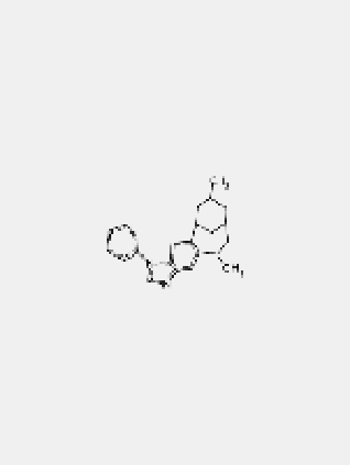 CC1CC2CC(C)c3cc4ncn(-c5ccccc5)c4cc3C(C1)C2